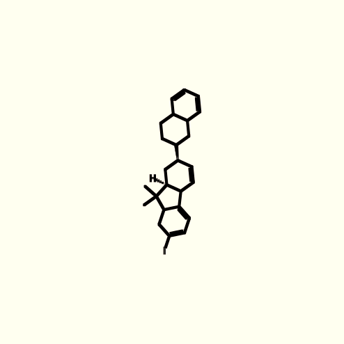 CC1(C)C2CC(I)=CC=C2C2C=C[C@H](C3CCC4C=CC=CC4C3)C[C@@H]21